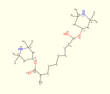 CCC(CCCCCCCC(O)OC1CC(C)(C)NC(C)(C)C1)C(=O)OC1CC(C)(C)NC(C)(C)C1